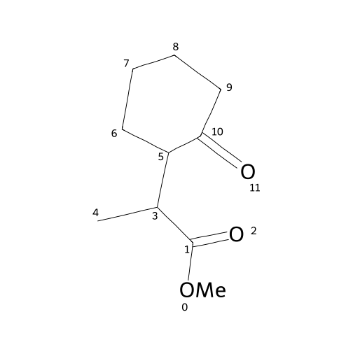 COC(=O)C(C)C1CCCCC1=O